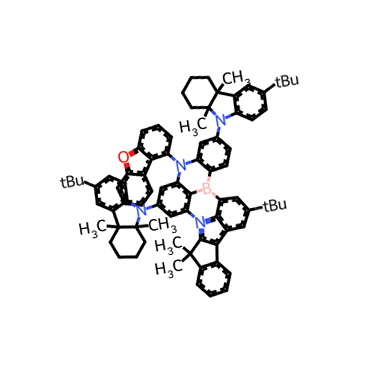 CC(C)(C)c1ccc2c(c1)C1(C)CCCCC1(C)N2c1ccc2c(c1)N(c1cccc3oc4ccccc4c13)c1cc(N3c4ccc(C(C)(C)C)cc4C4(C)CCCCC34C)cc3c1B2c1cc(C(C)(C)C)cc2c4c(n-3c12)C(C)(C)c1ccccc1-4